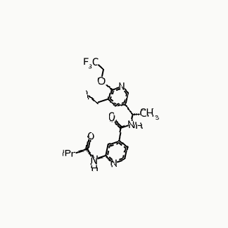 CC(C)C(=O)Nc1cc(C(=O)NC(C)c2cnc(OCC(F)(F)F)c(CI)c2)ccn1